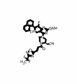 COc1nc(N2CCN(C(=O)/C=C/c3nc(C(C)(F)F)no3)[C@@H](CC#N)C2)c2cnc(-c3cccc4cccc(Cl)c34)c(F)c2n1